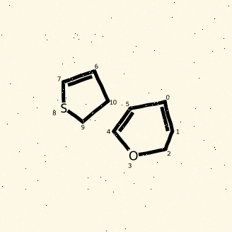 C1=CCOC=C1.C1=CSCC1